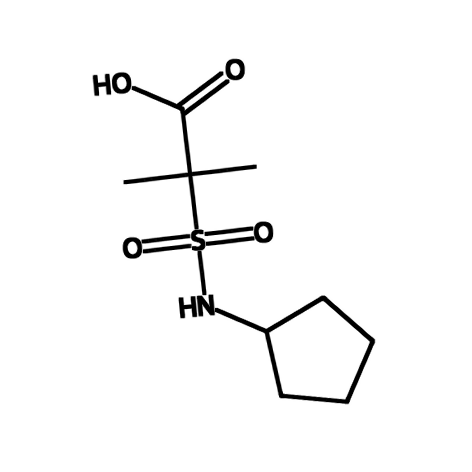 CC(C)(C(=O)O)S(=O)(=O)NC1CCCC1